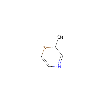 N#CC1C=NC=CS1